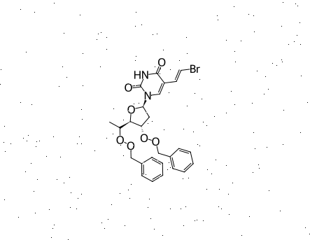 CC(OOCc1ccccc1)[C@H]1O[C@@H](n2cc(/C=C/Br)c(=O)[nH]c2=O)C[C@@H]1OOCc1ccccc1